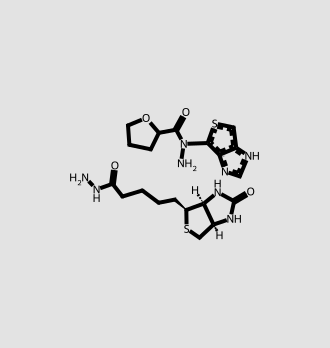 NN(C(=O)C1CCCO1)c1scc2[nH]cnc12.NNC(=O)CCCC[C@@H]1SC[C@@H]2NC(=O)N[C@@H]21